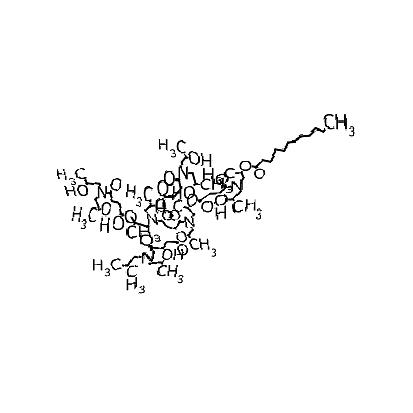 CCCCCCCCCCCC(=O)OC(C)CN(CC(C)O)C(=O)CCC(=O)OC(C)CN(CC(C)OC(=O)CCC(=O)N(CC(C)C)CC(C)O)C(=O)CCC(=O)N(CC(C)OC(=O)CCC(=O)N(CC(C)O)CC(C)O)CC(C)OC(=O)CCC(=O)N(CC(C)O)CC(C)O